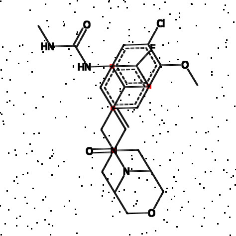 CNC(=O)Nc1cc(Cl)c(OC)cc1C=CC(=O)N1C2COCC1CN(Cc1ccc(F)cc1)C2